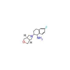 NC1c2ccc(F)cc2CCC1N1C[C@H]2COC[C@H]2C1